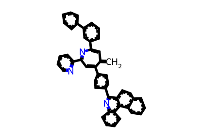 C=C1C=C(c2cccc(-c3ccccc3)c2)N=C(c2ccccn2)C=C1c1ccc(-c2nc3ccccc3c3c2ccc2ccccc23)cc1